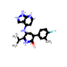 Cc1cc(-c2cc(Nc3ccnc4[nH]ncc34)c(C(C)C)[nH]c2=O)ccc1F